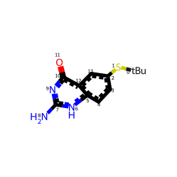 CC(C)(C)Sc1ccc2[nH]c(N)nc(=O)c2c1